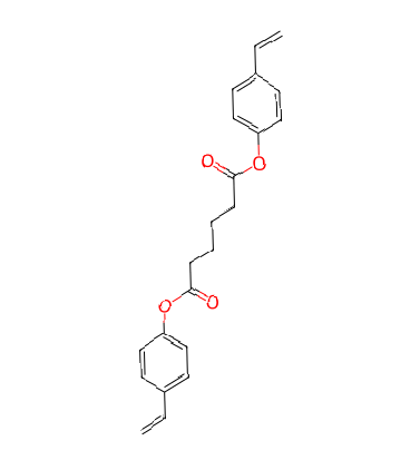 C=Cc1ccc(OC(=O)CCCCC(=O)Oc2ccc(C=C)cc2)cc1